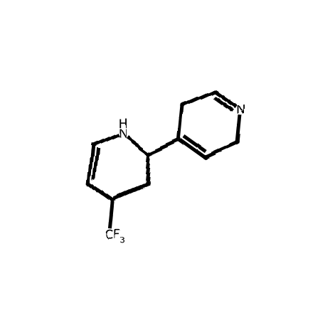 FC(F)(F)C1C=CNC(C2=CCN=CC2)C1